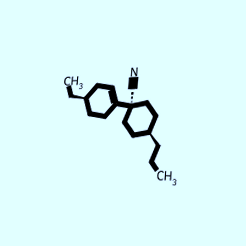 CCC[C@H]1CC[C@@](C#N)(C2=CC[C@H](CC)CC2)CC1